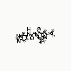 CC(C)c1nn(CC(=O)Nc2ccc3ncnn3c2)c(=O)c2cc(C3CC3)nn12